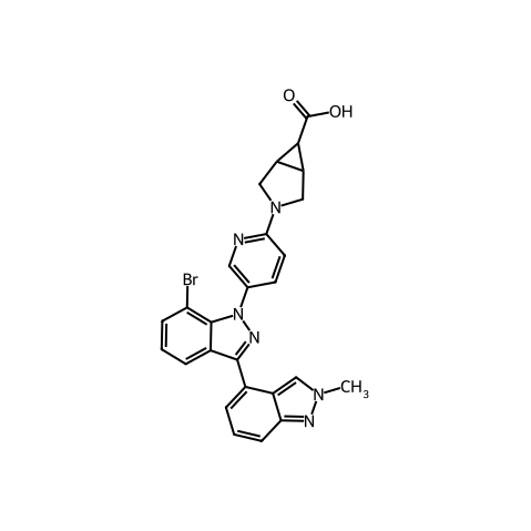 Cn1cc2c(-c3nn(-c4ccc(N5CC6C(C5)C6C(=O)O)nc4)c4c(Br)cccc34)cccc2n1